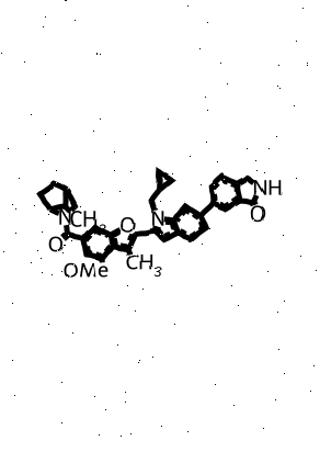 COc1cc(C(=O)N2CC3CCC2C3C)cc2oc(-c3cc4ccc(-c5ccc6c(c5)C(=O)NC6)cc4n3CC3CC3)c(C)c12